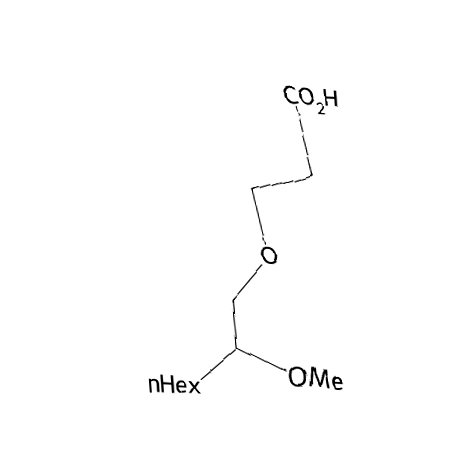 CCCCCCC(COCCC(=O)O)OC